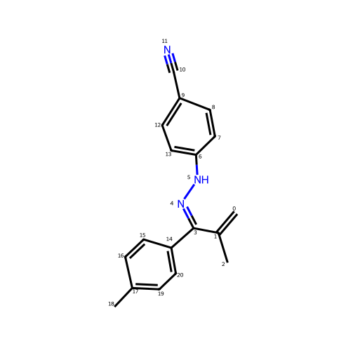 C=C(C)/C(=N\Nc1ccc(C#N)cc1)c1ccc(C)cc1